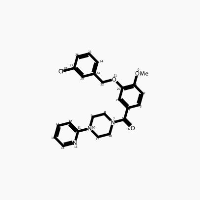 COc1ccc(C(=O)N2CCN(c3ccccn3)CC2)cc1OCc1cccc(Cl)c1